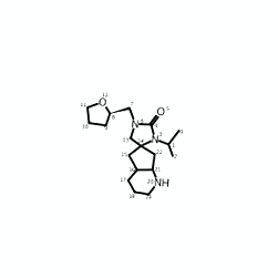 CC(C)N1C(=O)N(C[C@H]2CCCO2)CC12CC1CCCNC1C2